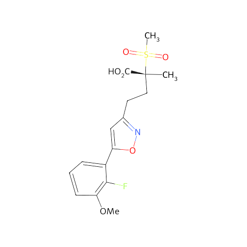 COc1cccc(-c2cc(CC[C@](C)(C(=O)O)S(C)(=O)=O)no2)c1F